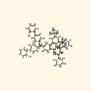 Cc1ccccc1-c1ccc2c(c1)c1cc(-c3ccccc3C)ccc1n2-c1ccc(-c2nc(-c3ccccc3)nc(-c3ccccc3)n2)c(-c2cc(C(F)(F)F)cc(C(F)(F)F)c2)c1